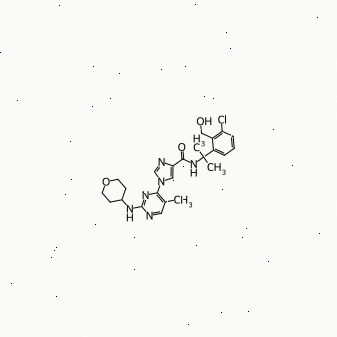 Cc1cnc(NC2CCOCC2)nc1-n1cnc(C(=O)NC(C)(C)c2cccc(Cl)c2CO)c1